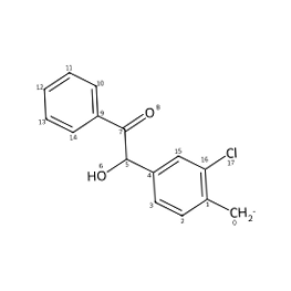 [CH2]c1ccc(C(O)C(=O)c2ccccc2)cc1Cl